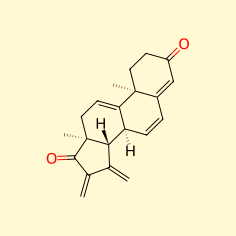 C=C1C(=C)[C@H]2[C@@H]3C=CC4=CC(=O)CC[C@]4(C)C3=CC[C@]2(C)C1=O